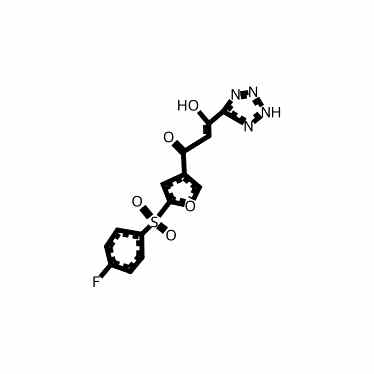 O=C(C=C(O)c1nn[nH]n1)c1coc(S(=O)(=O)c2ccc(F)cc2)c1